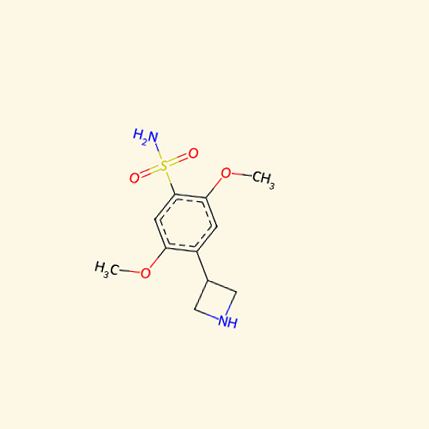 COc1cc(S(N)(=O)=O)c(OC)cc1C1CNC1